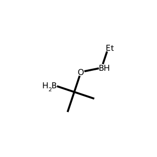 BC(C)(C)OBCC